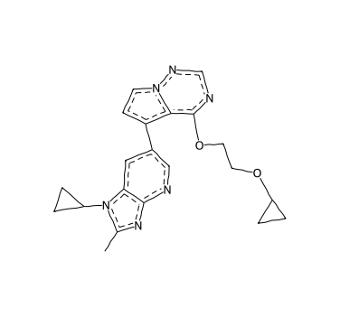 Cc1nc2ncc(-c3ccn4ncnc(OCCOC5CC5)c34)cc2n1C1CC1